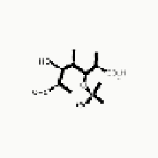 C[C@H]([C@H](O)[C@@H](C)C=O)[C@H](O[Si](C)(C)C(C)(C)C)[C@@H](C)C(=O)O